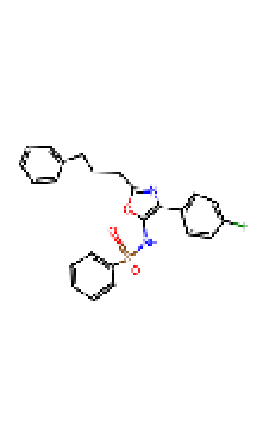 O=S(=O)(Nc1oc(CCCc2ccccc2)nc1-c1ccc(F)cc1)c1ccccc1